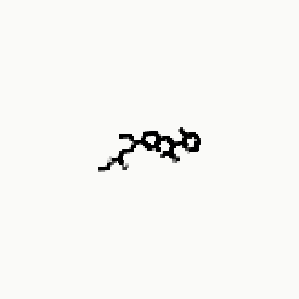 CCOC(=O)CCN(CC)c1ccc2cc(-c3ncccc3C)c(=O)oc2c1